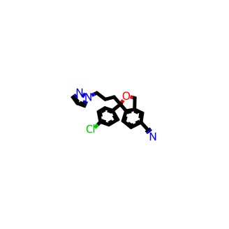 N#Cc1ccc2c(c1)COC2(CCCn1cccn1)c1ccc(Cl)cc1